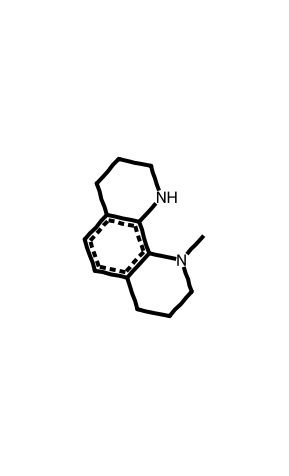 CN1CCCc2ccc3c(c21)NCCC3